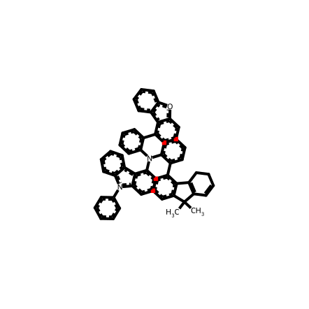 CC1(C)C2=C(CCC=C2)c2c(-c3ccccc3N(c3ccccc3-c3cccc4oc5ccccc5c34)c3cccc4c3c3ccccc3n4-c3ccccc3)cccc21